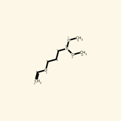 C=COCC[CH2][Ti]([O]C)[O]C